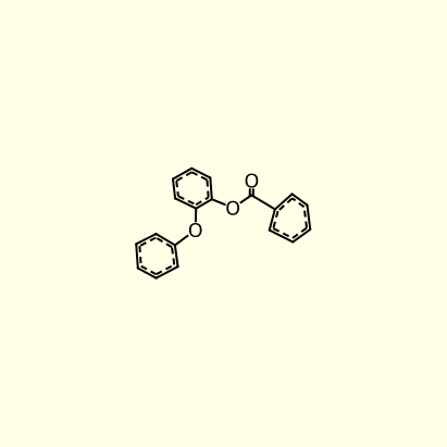 O=C(Oc1ccccc1Oc1ccccc1)c1ccccc1